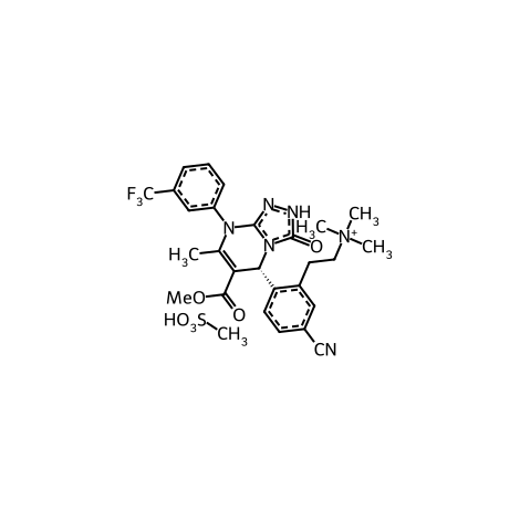 COC(=O)C1=C(C)N(c2cccc(C(F)(F)F)c2)c2n[nH]c(=O)n2[C@@H]1c1ccc(C#N)cc1CC[N+](C)(C)C.CS(=O)(=O)O